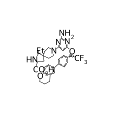 CCC1NC(C(=O)O)CC12CCN(c1cc(O[C@H](c3ccc(-c4ccc5c(c4)CCCO5)cc3)C(F)(F)F)nc(N)n1)CC2